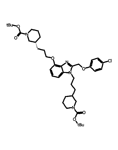 CC(C)(C)OC(=O)N1CCCC(CCCn2c(COc3ccc(Cl)cc3)nc3c(OCCC[C@H]4CCCN(C(=O)OC(C)(C)C)C4)cccc32)C1